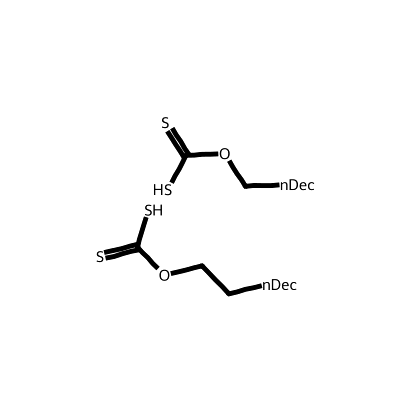 CCCCCCCCCCCCOC(=S)S.CCCCCCCCCCCOC(=S)S